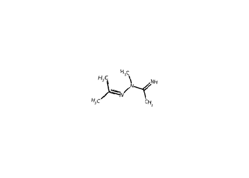 CC(=N)N(C)N=C(C)C